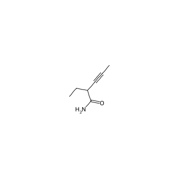 CC#CC(CC)C(N)=O